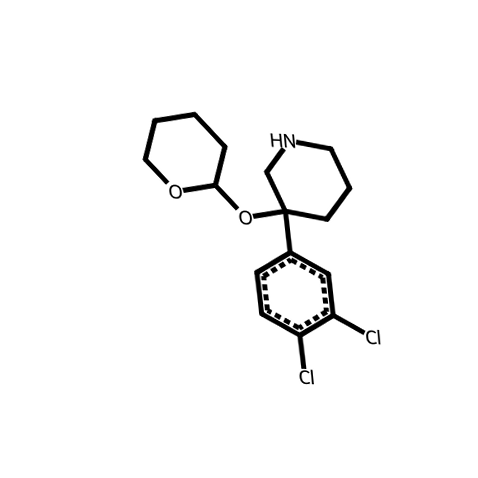 Clc1ccc(C2(OC3CCCCO3)CCCNC2)cc1Cl